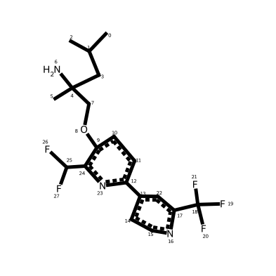 CC(C)CC(C)(N)COc1ccc(-c2ccnc(C(F)(F)F)c2)nc1C(F)F